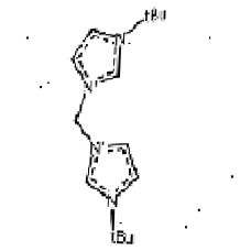 CC(C)(C)n1cc[n+](C[n+]2ccn(C(C)(C)C)c2)c1